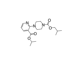 CC(C)COC(=O)N1CCN(c2ncccc2C(=O)OC(C)C)CC1